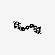 C=C[C@H]1[C@@H](C)[C@H]1N(Cc1nc2ccc(-c3ccc(-c4ccc5nc(CN(C(=O)[C@@H](NC(=O)OC)C(C)C)[C@H]6[C@H](C)[C@@H]6C=C)[nH]c5c4)cc3)cc2[nH]1)C(=O)[C@@H](NC(=O)OC)C(C)C